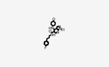 CCn1ncc2c(NC3CCC(=O)CC3)c(C(=O)NCCCc3ccc(F)cc3)cnc21